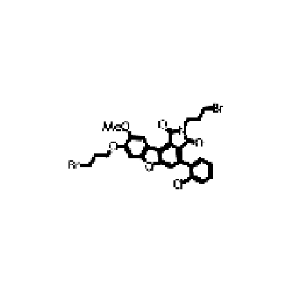 COc1cc2c(cc1OCCCBr)oc1cc(-c3ccccc3Cl)c3c(c12)C(=O)N(CCCBr)C3=O